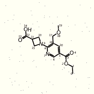 CCOC(=O)c1cnc(N2CC(C(=O)O)C2)c(COC)c1